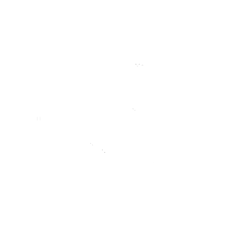 CCOc1ccc(N(C)S(=O)(=O)c2cc(Cl)sc2-c2nnc(-c3cc(Cl)cc(C(=O)O)c3)o2)cc1OC